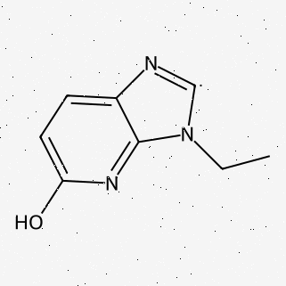 CCn1[c]nc2ccc(O)nc21